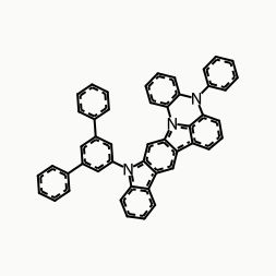 c1ccc(-c2cc(-c3ccccc3)cc(-n3c4ccccc4c4cc5c6cccc7c6n(c5cc43)-c3ccccc3N7c3ccccc3)c2)cc1